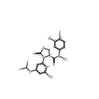 Cc1cc(OC(F)F)cc(N2C(=O)OC[C@H]2C(=O)N(C)c2ccc(F)c(Cl)c2)n1